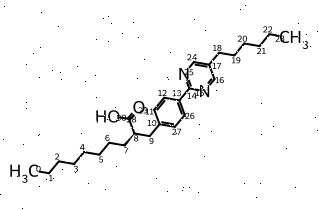 CCCCCCCC[C@H](Cc1ccc(-c2ncc(CCCCCC)cn2)cc1)C(=O)O